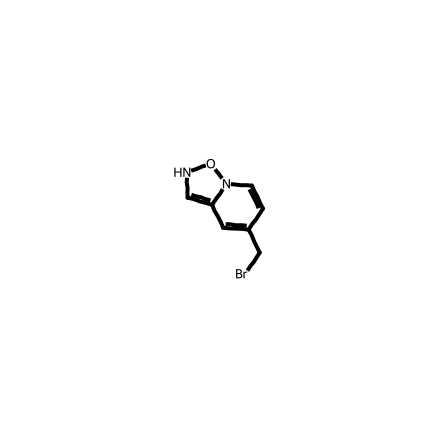 BrCC1=CC2=CNON2C=C1